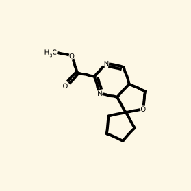 COC(=O)C1=NC2C(C=N1)COC21CCCC1